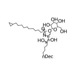 CCCCCCCCCCCCCC[C@@H](O)[C@@H](O)[C@H](COC1OC(CO)C(O)C(O)C1O)N=S(C)(=O)CCCCCCCCCCC1CC1